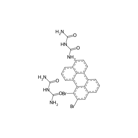 Brc1cc2cccc3c4cccc5cccc(c(c1Br)c23)c54.NC(=O)NC(N)=O.NC(=O)NC(N)=O